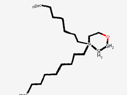 CCCCCCCCCCCCCCCCCC[Si]1(CCCCCCCCCCCCCCCC)CCO[SiH2][SiH2]1